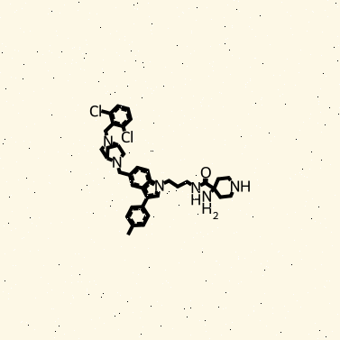 Cc1ccc(-c2cn(CCCNC(=O)C3(N)CCNCC3)c3ccc(CN4CC5CC4CN5Cc4c(Cl)cccc4Cl)cc23)cc1